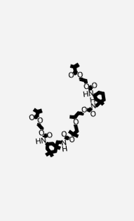 C=C(C)C(=O)OCCOC(=O)NC1CCCC(C)(CNC(=O)OCCC(C)OCCC(C)(C)OC(=O)NCC2(C)CC(NC(=O)OCCOC(=O)C(=C)C)CC(C)(C)C2)C1